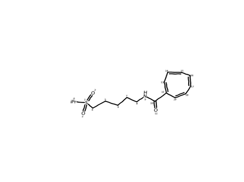 CC(C)S(=O)(=O)CCCCCNC(=O)C1=C/C=C\C=C/C=C\1